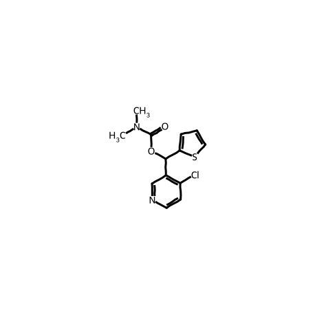 CN(C)C(=O)OC(c1cccs1)c1cnccc1Cl